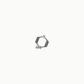 C1#CSC#CN1